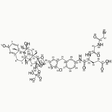 C[C@]12C=CC(=O)C=C1CC[C@@H]1[C@@H]2[C@@H](O)C[C@@]2(C)[C@H]1C[C@H]1O[C@@H](c3cc(Cc4cccc(NC(=O)[C@H](CCC(=O)O)NC(=O)CNC(=O)CBr)c4)c(Cl)s3)O[C@]12C(=O)COP(=O)(O)O